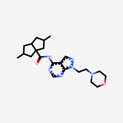 CC1CC2CC(C)CC2(C(=O)Nc2ncnc3c2cnn3CCN2CCOCC2)C1